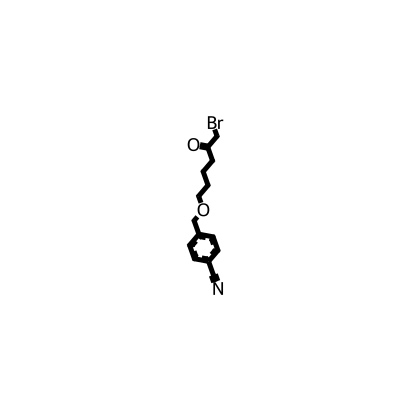 N#Cc1ccc(COCCCCC(=O)CBr)cc1